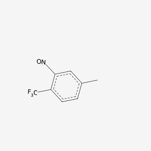 Cc1ccc(C(F)(F)F)c(N=O)c1